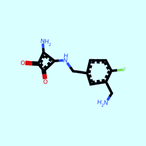 NCc1cc(CNc2c(N)c(=O)c2=O)ccc1F